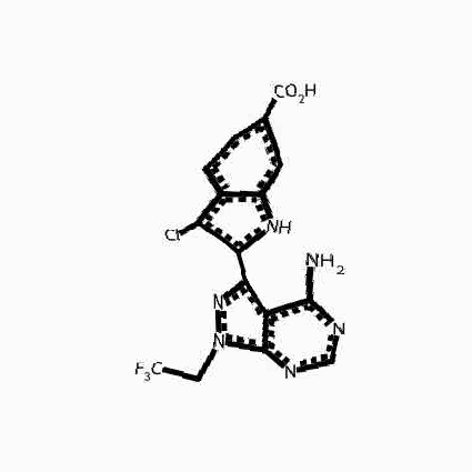 Nc1ncnc2c1c(-c1[nH]c3cc(C(=O)O)ccc3c1Cl)nn2CC(F)(F)F